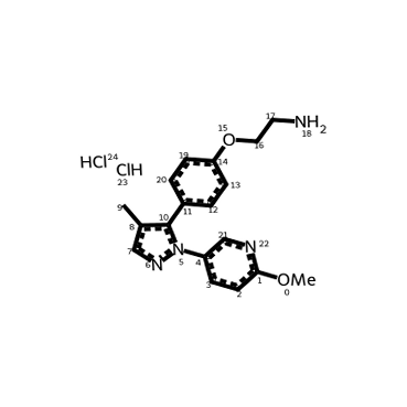 COc1ccc(-n2ncc(C)c2-c2ccc(OCCN)cc2)cn1.Cl.Cl